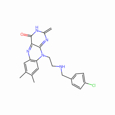 C=c1nc2c(c(=O)[nH]1)=Nc1cc(C)c(C)cc1N2CCNCc1ccc(Cl)cc1